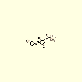 C=C(C)C(=O)OCc1cc(Cl)cc(/N=N/c2ccc(CO)cc2)c1O